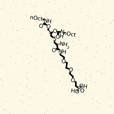 CCCCCCCCNC(=O)OC[C@H](CSC[C@H](N)C(=O)NCCOCCOCCOCCP(=O)(O)O)OC(=O)NCCCCCCCC